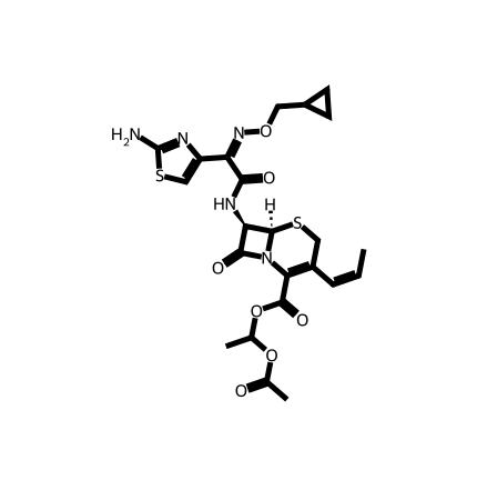 C/C=C\C1=C(C(=O)OC(C)OC(C)=O)N2C(=O)[C@@H](NC(=O)/C(=N\OCC3CC3)c3csc(N)n3)[C@H]2SC1